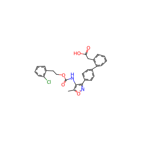 Cc1onc(-c2ccc(-c3ccccc3CC(=O)O)cc2)c1NC(=O)OCCc1ccccc1Cl